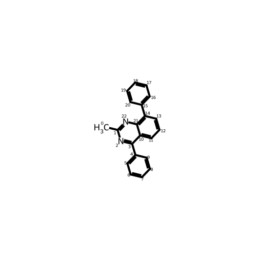 Cc1nc(-c2ccccc2)c2cccc(-c3ccccc3)c2n1